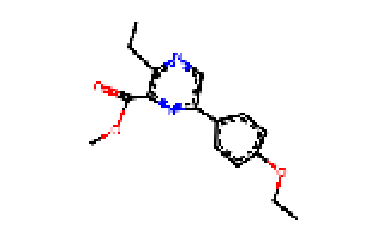 CCOc1ccc(-c2cnc(CC)c(C(=O)OC)n2)cc1